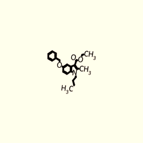 CCCCn1c(C)c(C(=O)OCC)c2cc(OCc3ccccc3)ccc21